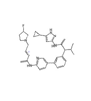 C=C(/C=C/CN1CCC(F)C1)Nc1ccc(-c2cccc(C(C(=C)Nc3cc(C4CC4)[nH]n3)C(C)C)c2)cn1